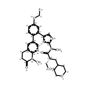 CN(C(=O)[C@@H](CC(=O)O)CC1CCOCC1)c1nc(-c2cc(OCF)ccc2-c2cnc3c(c2)CCC(=O)N3C)cs1